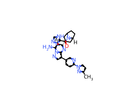 CC(=O)c1c([C@@H]2CC3CC[C@@H](C2)N3C(=O)c2nnc[nH]2)nc2c(-c3ccc(-n4ccc(C)n4)nc3)cnn2c1N